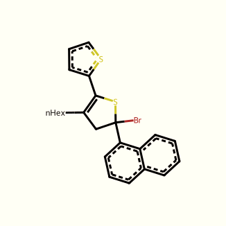 CCCCCCC1=C(c2cccs2)SC(Br)(c2cccc3ccccc23)C1